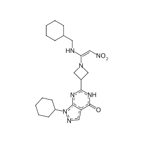 O=c1[nH]c(C2CN(/C(=C\[N+](=O)[O-])NCC3CCCCC3)C2)nc2c1cnn2C1CCCCC1